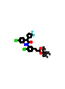 CC(C)(C)OC(=O)CCc1ccc(Cl)c(NC(=O)C(c2ccc(Cl)cc2)C2CCC(F)(F)C2)c1